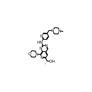 C[C@@H](O)c1cc2cnc(Nc3ccc(CN4CCN(C)CC4)cn3)nc2c(N2CCOCC2)n1